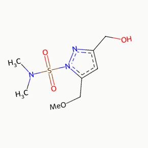 COCc1cc(CO)nn1S(=O)(=O)N(C)C